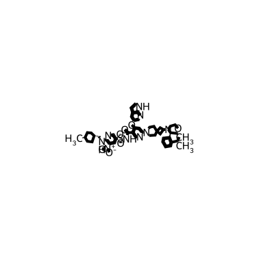 CC(C)c1ccccc1[C@@H]1COCCN1C1CC2(CCN(c3cc(Oc4cnc5[nH]ccc5c4)c(C(=O)NS(=O)(=O)c4cnc(NC[C@H]5CC[C@@H](C)CC5)c([N+](=O)[O-])c4)cn3)CC2)C1